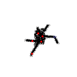 C=CCOC(=O)O[C@@H]1C(CO[C@@H]2O[C@H](COC)[C@@H](OP(=O)(OCC=C)OCC=C)[C@H](OCC[C@@H](CCCCCCC)OC)[C@H]2NC(=O)CCCCCCCCC/C=C\CCCCCC)O[C@H](OP(=O)(OCC=C)OCC=C)[C@H](NC(=O)CC(=O)CCCCCCCCCCC)[C@H]1OCCCCCCCCCC